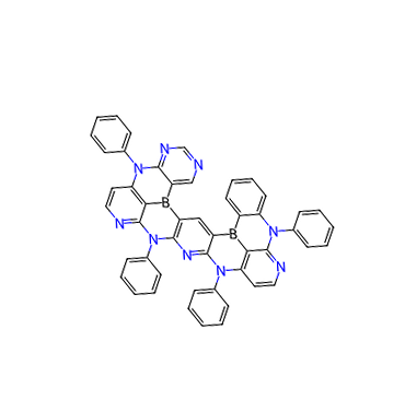 c1ccc(N2c3ccnc4c3B(c3ccccc3N4c3ccccc3)c3cc4c(nc32)N(c2ccccc2)c2nccc3c2B4c2cncnc2N3c2ccccc2)cc1